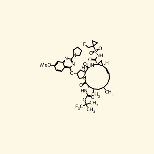 COc1ccc2c(O[C@@H]3C[C@H]4C(=O)N[C@]5(C(=O)NS(=O)(=O)C6(CF)CC6)C[C@H]5C=CCC[C@@H](C)C[C@@H](C)[C@H](NC(=O)OC(C)(C)C(F)(F)F)C(=O)N4C3)nc(N3CCCC3)nc2c1